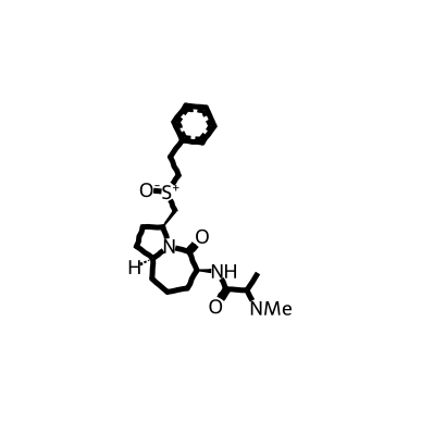 CNC(C)C(=O)N[C@H]1CCC[C@H]2CC[C@@H](C[S+]([O-])CCc3ccccc3)N2C1=O